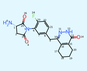 N[C@H]1CC(=O)N(c2cc(Cc3n[nH]c(=O)c4c3CCCC4)ccc2F)C1=O